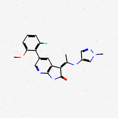 COc1cccc(F)c1-c1cnc2c(c1)/C(=C(\C)Nc1cnn(C)c1)C(=O)N2